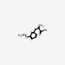 C=C(Cc1cccc(SOC)c1)C(=O)O